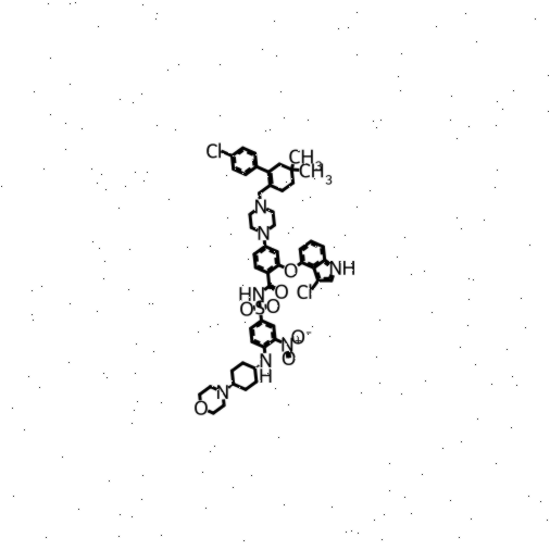 CC1(C)CCC(CN2CCN(c3ccc(C(=O)NS(=O)(=O)c4ccc(N[C@H]5CC[C@H](N6CCOCC6)CC5)c([N+](=O)[O-])c4)c(Oc4cccc5[nH]cc(Cl)c45)c3)CC2)=C(c2ccc(Cl)cc2)C1